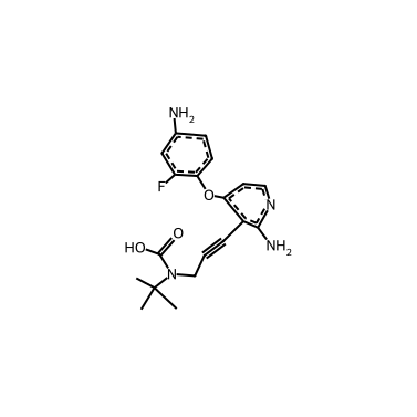 CC(C)(C)N(CC#Cc1c(Oc2ccc(N)cc2F)ccnc1N)C(=O)O